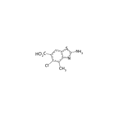 Cc1c(Cl)c(C(=O)O)cc2sc(N)nc12